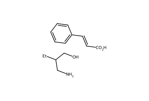 CCC(CN)CO.O=C(O)C=Cc1ccccc1